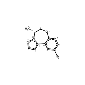 C[C@@H]1COc2ncc(Br)cc2-c2ccnn21